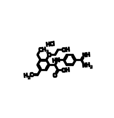 C=Cc1cc(CC)c(OCCO)c(C(Nc2ccc(C(=N)N)cc2)C(=O)O)c1.Cl